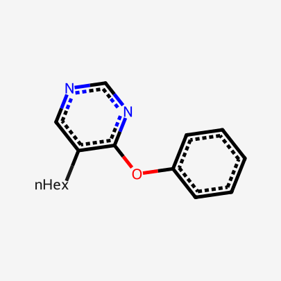 [CH2]CCCCCc1cncnc1Oc1ccccc1